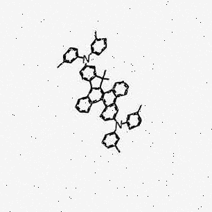 Cc1cccc(N(c2cccc(C)c2)c2ccc3c(c2)C(C)(C)c2c-3c3ccccc3c3c4ccc(N(c5cccc(C)c5)c5cccc(C)c5)cc4c4ccccc4c23)c1